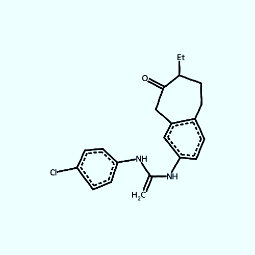 C=C(Nc1ccc(Cl)cc1)Nc1ccc2c(c1)CC(=O)C(CC)CC2